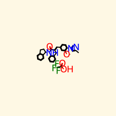 COc1cc(/C=C(\Cc2ccccc2)C(=O)NC2CCc3ccccc32)ccc1-n1cnc(C)c1.O=C(O)C(F)(F)F